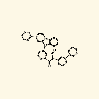 O=C1c2cccc(-n3c4ccccc4c4ccc(-c5ccccc5)cc43)c2C(=O)N1c1cccc(-c2ccccc2)c1